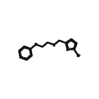 Brc1ccc(CSCCOc2ccccc2)s1